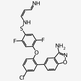 N=C/C=C\NSc1cc(F)c(Oc2ccc(Cl)cc2-c2ccc3onc(N)c3c2)cc1F